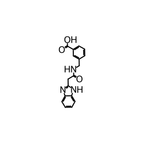 O=C(Cc1nc2ccccc2[nH]1)NCc1cccc(C(=O)O)c1